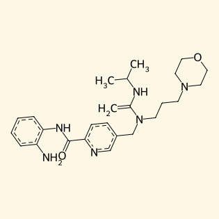 C=C(NC(C)C)N(CCCN1CCOCC1)Cc1ccc(C(=O)Nc2ccccc2N)nc1